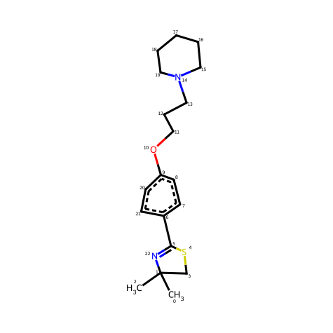 CC1(C)CSC(c2ccc(OCCCN3CCCCC3)cc2)=N1